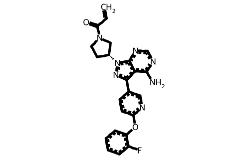 C=CC(=O)N1CC[C@@H](n2nc(-c3ccc(Oc4ccccc4F)nc3)c3c(N)ncnc32)C1